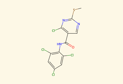 CSc1ncc(C(=O)Nc2c(Cl)cc(Cl)cc2Cl)c(Cl)n1